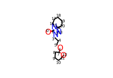 O=c1n(CCCOC2CCCCO2)nc2n1CCCCC2